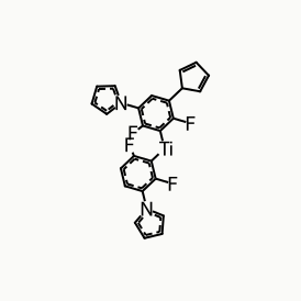 Fc1ccc(-n2cccc2)c(F)[c]1[Ti][c]1c(F)c(C2C=CC=C2)cc(-n2cccc2)c1F